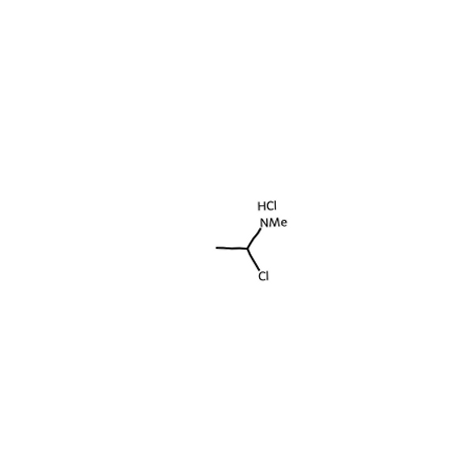 CNC(C)Cl.Cl